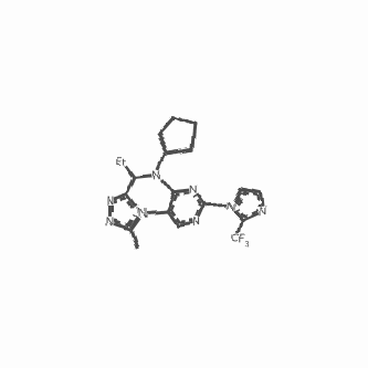 CCC1c2nnc(C)n2-c2cnc(-n3ccnc3C(F)(F)F)nc2N1C1CCCC1